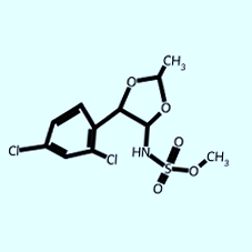 COS(=O)(=O)NC1OC(C)OC1c1ccc(Cl)cc1Cl